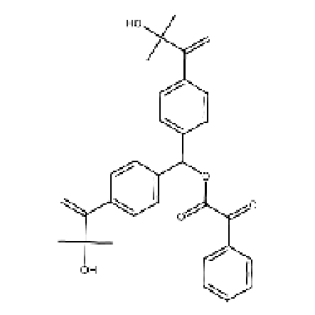 C=C(c1ccc(C(OC(=O)C(=O)c2ccccc2)c2ccc(C(=C)C(C)(C)O)cc2)cc1)C(C)(C)O